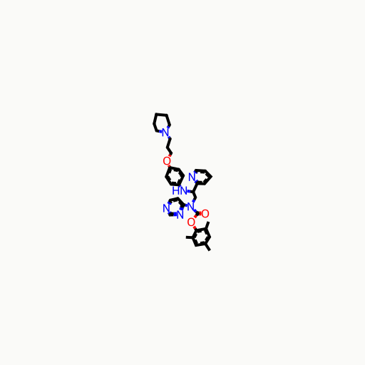 Cc1cc(C)c(OC(=O)N(CC(Nc2ccc(OCCCN3CCCCC3)cc2)c2ccccn2)c2ccncn2)c(C)c1